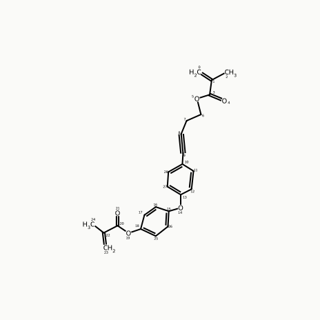 C=C(C)C(=O)OCCC#Cc1ccc(Oc2ccc(OC(=O)C(=C)C)cc2)cc1